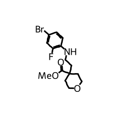 COC(=O)C1(CCNc2ccc(Br)cc2F)CCOCC1